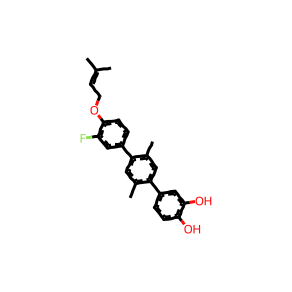 CC(C)=CCOc1ccc(-c2cc(C)c(-c3ccc(O)c(O)c3)cc2C)cc1F